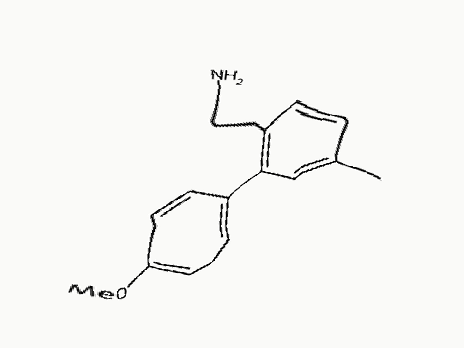 COc1ccc(-c2cc(C)ccc2CN)cc1